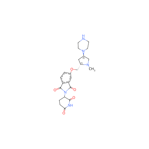 CN1C[C@H](N2CCNCC2)C[C@H]1COc1ccc2c(c1)C(=O)N(C1CCC(=O)NC1=O)C2=O